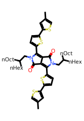 CCCCCCCCC(CCCCCC)CN1C(=O)C2=C(c3ccc(-c4cc(C)cs4)s3)N(CC(CCCCCC)CCCCCCCC)C(=O)C2=C1c1ccc(-c2cc(C)cs2)s1